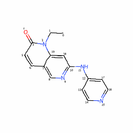 CCn1c(=O)ccc2cnc(Nc3ccncc3)cc21